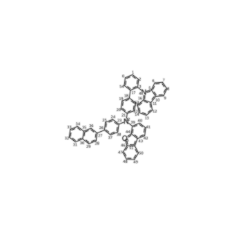 c1ccc(-n2c3ccccc3c3ccccc32)c(-c2ccc(N(c3ccc(-c4ccc5ccccc5c4)cc3)c3cccc4c3oc3ccccc34)cc2)c1